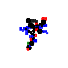 COc1ccccc1-c1ccc(C[C@@H](C(=O)CC[C@@H](CCCCNC(=N)N)C(=O)NCC(=O)Nc2ccc(N3CCOCC3)c(F)c2)C([SiH3])NC(=O)[C@H](Cc2c[nH]c3ccc(O)cc23)NC(=O)[C@H]2CCC[C@H](N)C2)cc1